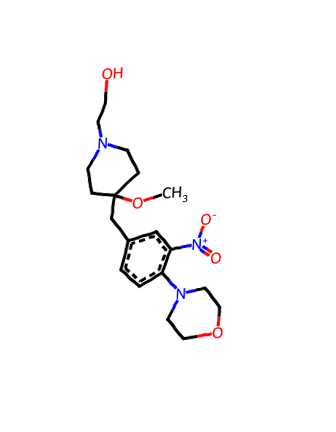 COC1(Cc2ccc(N3CCOCC3)c([N+](=O)[O-])c2)CCN(CCO)CC1